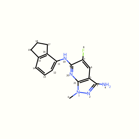 Cn1nc(N)c2cc(F)c(Nc3cccc4c3CCC4)nc21